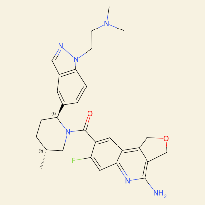 C[C@@H]1CC[C@@H](c2ccc3c(cnn3CCN(C)C)c2)N(C(=O)c2cc3c4c(c(N)nc3cc2F)COC4)C1